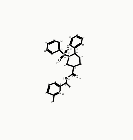 Cc1cccc(C(C)NC(=O)C2CCC(c3ccccc3)N(S(=O)(=O)c3ccccc3)C2)n1